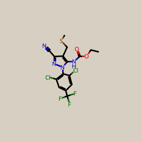 CCOC(=O)Nc1c(CSC)c(C#N)nn1-c1c(Cl)cc(C(F)(F)F)cc1Cl